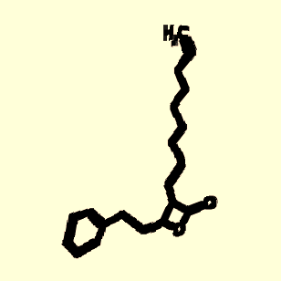 C=CCCCCCCCC1C(=O)OC1CCc1ccccc1